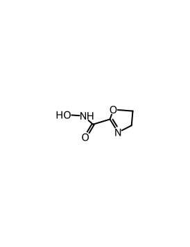 O=C(NO)C1=NCCO1